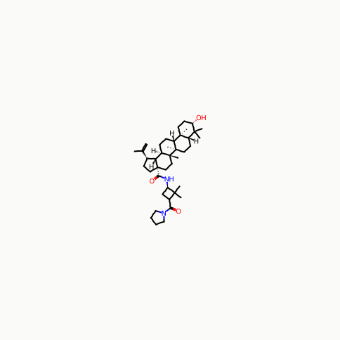 C=C(C)[C@@H]1CC[C@]2(C(=O)N[C@@H]3CC(C(=O)N4CCCC4)C3(C)C)CC[C@]3(C)[C@H](CC[C@@H]4[C@@]5(C)CC[C@H](O)C(C)(C)[C@@H]5CC[C@]43C)[C@@H]12